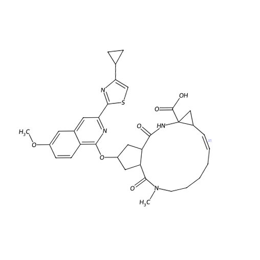 COc1ccc2c(OC3CC4C(=O)NC5(C(=O)O)CC5/C=C\CCCCN(C)C(=O)C4C3)nc(-c3nc(C4CC4)cs3)cc2c1